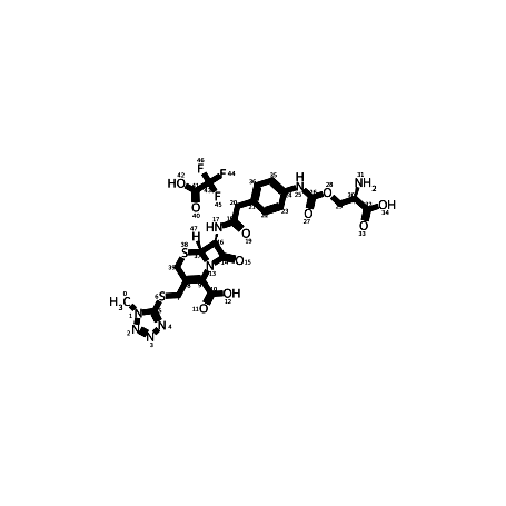 Cn1nnnc1SCC1=C(C(=O)O)N2C(=O)[C@@H](NC(=O)Cc3ccc(NC(=O)OC[C@@H](N)C(=O)O)cc3)[C@H]2SC1.O=C(O)C(F)(F)F